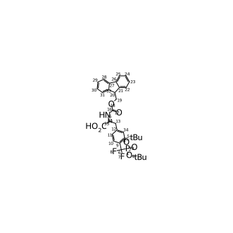 CC(C)(C)OP(=O)(OC(C)(C)C)C(F)(F)c1ccc(C[C@H](NC(=O)OCC2c3ccccc3-c3ccccc32)C(=O)O)cc1